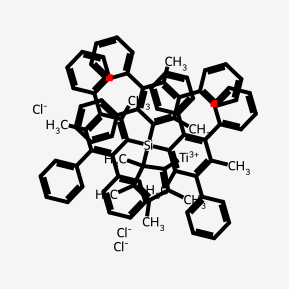 CC1=C(C)C(C)([Si](c2c(C)c(-c3ccccc3)c(C)c(-c3ccccc3)c2-c2ccccc2)(c2c(C)c(-c3ccccc3)c(C)c(-c3ccccc3)c2-c2ccccc2)c2c(C)c(-c3ccccc3)c(C)c(-c3ccccc3)c2-c2ccccc2)[C]([Ti+3])=C1C.[Cl-].[Cl-].[Cl-]